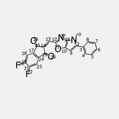 Cn1c(-c2ccccc2)cc2oc(C=C3C(=O)c4cc(F)c(F)cc4C3=O)nc21